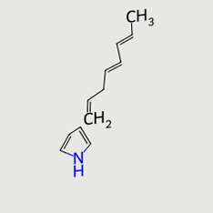 C=CCC=CC=CC.c1cc[nH]c1